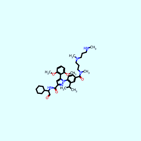 CNCCCN(C)CCCN(C)C(=O)c1ccc(-n2nc(C(=O)NC(C=O)C3CCCCC3)cc2-c2c(OC)cccc2OC)c(C(C)C)c1